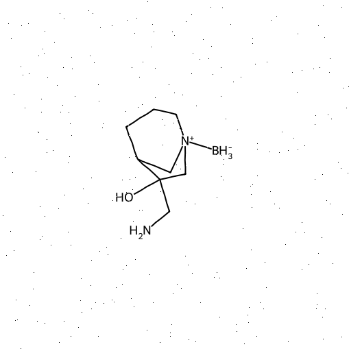 [BH3-][N+]12CCCC(C1)C(O)(CN)C2